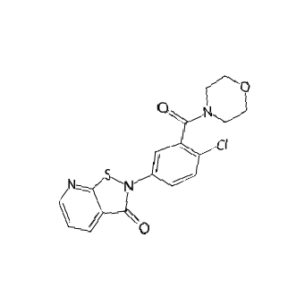 O=C(c1cc(-n2sc3ncccc3c2=O)ccc1Cl)N1CCOCC1